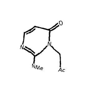 CNc1nccc(=O)n1CC(C)=O